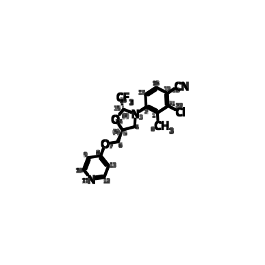 Cc1c(N2C[C@@H](COc3ccncc3)O[C@@H]2C(F)(F)F)ccc(C#N)c1Cl